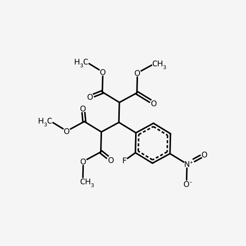 COC(=O)C(C(=O)OC)C(c1ccc([N+](=O)[O-])cc1F)C(C(=O)OC)C(=O)OC